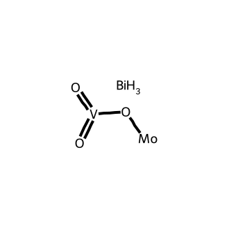 [BiH3].[O]=[V](=[O])[O][Mo]